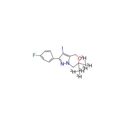 [2H]C([2H])([2H])C1(C([2H])([2H])[2H])Cn2nc(-c3ccc(F)cc3)c(I)c2CO1